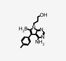 Bc1c(-c2ccc(C)cc2)c2c(N)ncnc2n1CCCO